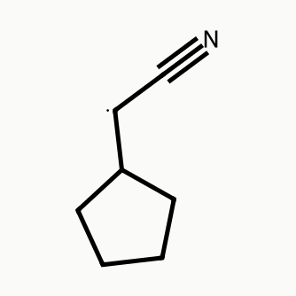 N#C[CH]C1CCCC1